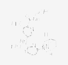 CCNC(=O)c1ncc(Nc2nccc(N3C[C@H]4CC[C@@H](C3)N4)n2)cc1C.Cl